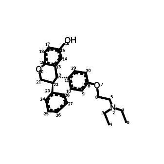 CCN(CC)CCOc1ccc([C@H]2c3cc(O)ccc3OC[C@@H]2c2ccccc2)cc1